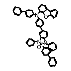 O=P1(c2ccc(-c3ccccc3)cc2)N(c2ccccc2)c2ccc(-c3ccc(N(c4ccc(-c5ccccc5)cc4)c4cccc5c4oc4ccccc45)cc3)cc2N1c1ccccc1